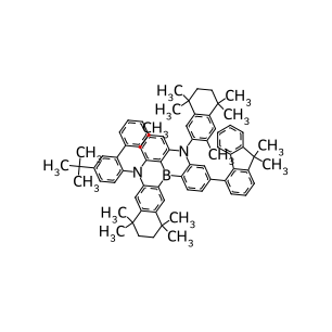 Cc1cc2c3c(c1)N(c1ccc(C(C)(C)C)cc1-c1ccccc1)c1cc4c(cc1B3c1ccc(-c3cccc5c3-c3ccccc3C5(C)C)cc1N2c1cc2c(cc1C)C(C)(C)CCC2(C)C)C(C)(C)CCC4(C)C